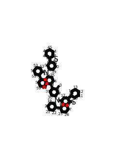 Cc1cc(N(c2ccc3sc4ccccc4c3c2)c2ccccc2-c2ccccc2)ccc1-c1ccc(N(c2ccc3sc4ccccc4c3c2)c2ccccc2-c2ccccc2)cc1C